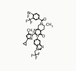 Cc1cc(C2CC2)nn1-c1nc2c(c(=O)n1-c1ccc3c(c1)ncn3CC(F)(F)F)C[C@@H](C)N(C(=O)c1ccc(Br)c(C(F)(F)F)c1)C2